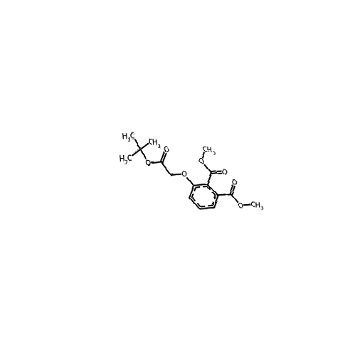 COC(=O)c1cccc(OCC(=O)OC(C)(C)C)c1C(=O)OC